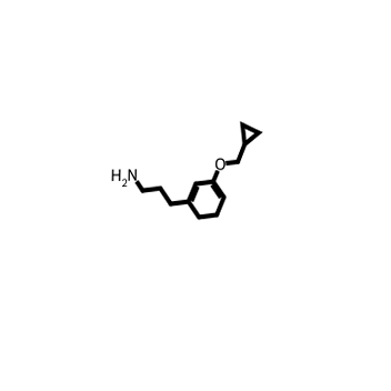 NCCCC1=CC(OCC2CC2)=CCC1